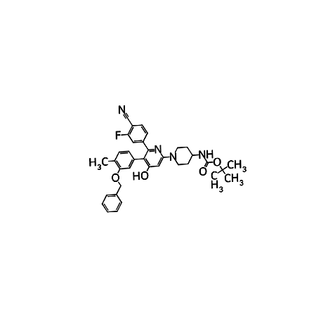 Cc1ccc(-c2c(O)cc(N3CCC(NC(=O)OC(C)(C)C)CC3)nc2-c2ccc(C#N)c(F)c2)cc1OCc1ccccc1